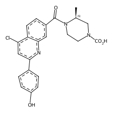 C[C@H]1CN(C(=O)O)CCN1C(=O)c1ccc2c(Cl)cc(-c3ccc(O)cc3)nc2c1